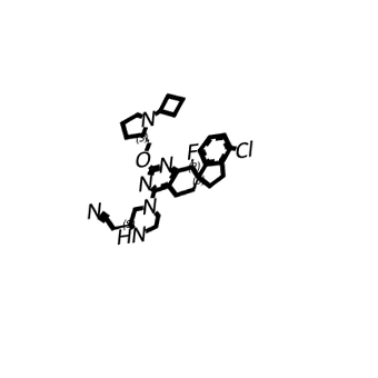 N#CC[C@H]1CN(c2nc(OC[C@@H]3CCCN3C3CCC3)nc3c2CC[C@@]2(CCc4c(Cl)cccc42)[C@H]3F)CCN1